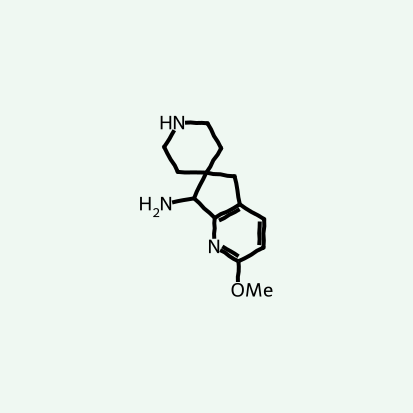 COc1ccc2c(n1)C(N)C1(CCNCC1)C2